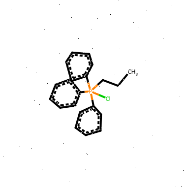 CCCP(Cl)(c1ccccc1)(c1ccccc1)c1ccccc1